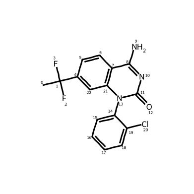 CC(F)(F)c1ccc2c(N)nc(=O)n(-c3ccccc3Cl)c2c1